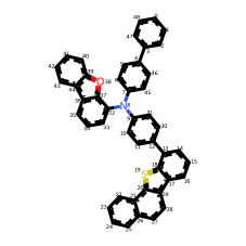 c1ccc(-c2ccc(N(c3ccc(-c4cccc5c4sc4c6ccccc6ccc54)cc3)c3cccc4c3oc3ccccc34)cc2)cc1